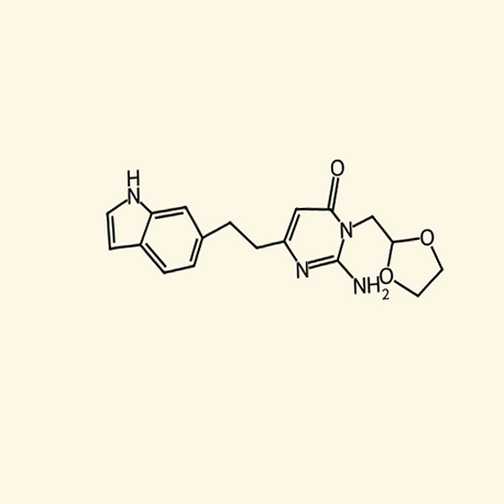 Nc1nc(CCc2ccc3cc[nH]c3c2)cc(=O)n1CC1OCCO1